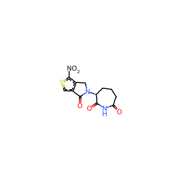 O=C1CCC[C@H](N2Cc3c(csc3[N+](=O)[O-])C2=O)C(=O)N1